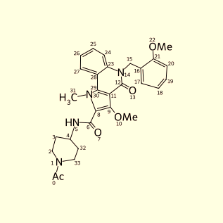 [CH2]C(=O)N1CCC(NC(=O)c2c(OC)c3c(=O)n(Cc4ccccc4OC)c4ccccc4c3n2C)CC1